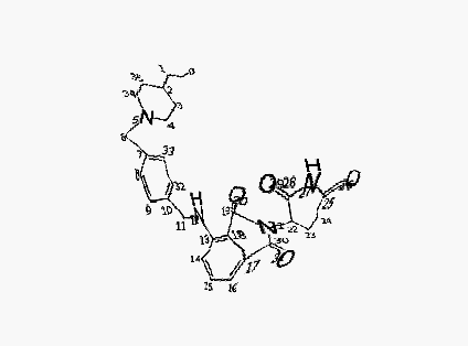 CCC1CCN(Cc2ccc(CNc3cccc4c3C(=O)N(C3CCC(=O)NC3=O)C4=O)cc2)CC1